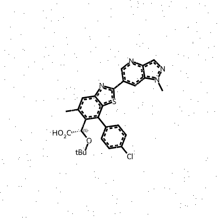 Cc1cc2nc(-c3cnc4cnn(C)c4c3)sc2c(-c2ccc(Cl)cc2)c1[C@H](OC(C)(C)C)C(=O)O